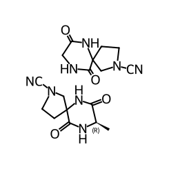 C[C@H]1NC(=O)C2(CCN(C#N)C2)NC1=O.N#CN1CCC2(C1)NC(=O)CNC2=O